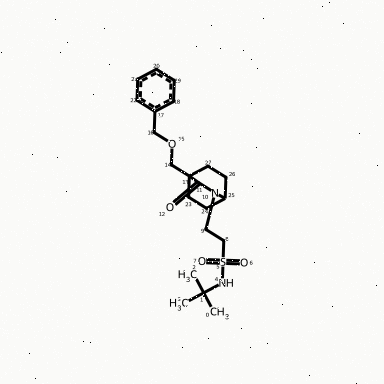 CC(C)(C)NS(=O)(=O)CCN1C(=O)C2(COCc3ccccc3)CCC1CC2